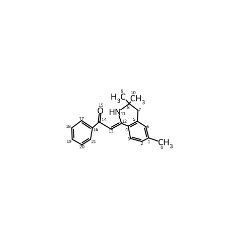 Cc1ccc2c(c1)CC(C)(C)NC2=CC(=O)c1ccccc1